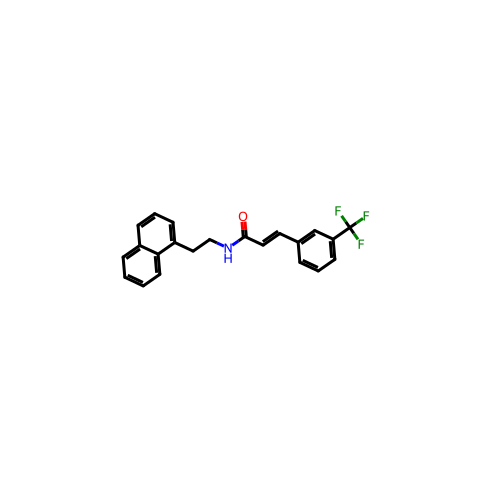 O=C(C=Cc1cccc(C(F)(F)F)c1)NCCc1cccc2ccccc12